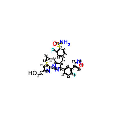 N[S+]([O-])c1ccc(Cc2c(-c3ccc(F)c(-c4cnoc4)c3)nn(-c3nc(C(=O)O)cs3)c2CC2CC2)cc1F